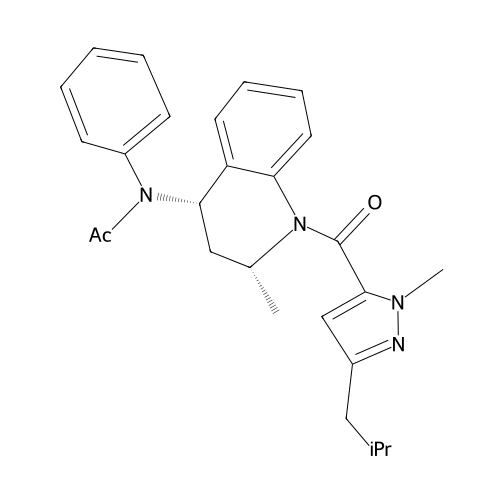 CC(=O)N(c1ccccc1)[C@H]1C[C@@H](C)N(C(=O)c2cc(CC(C)C)nn2C)c2ccccc21